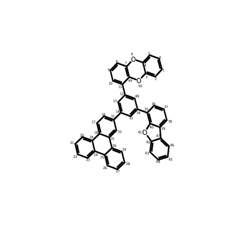 c1ccc2c(c1)Oc1cccc(-c3cc(-c4ccc5c6ccccc6c6ccccc6c5c4)cc(-c4cccc5c4oc4ccccc45)c3)c1O2